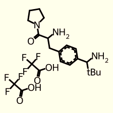 CC(C)(C)C(N)c1ccc(CC(N)C(=O)N2CCCC2)cc1.O=C(O)C(F)(F)F.O=C(O)C(F)(F)F